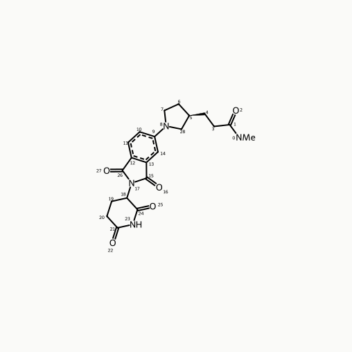 CNC(=O)CC[C@@H]1CCN(c2ccc3c(c2)C(=O)N(C2CCC(=O)NC2=O)C3=O)C1